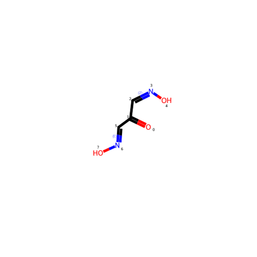 O=C(/C=N\O)/C=N/O